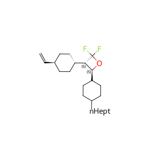 C=C[C@H]1CC[C@H]([C@H]2[C@H](C3CCC(CCCCCCC)CC3)OC2(F)F)CC1